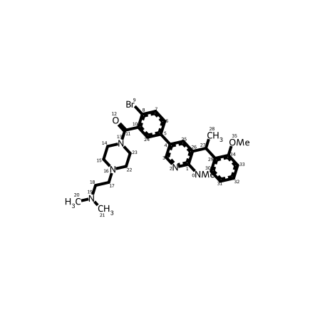 CNc1ncc(-c2ccc(Br)c(C(=O)N3CCN(CCN(C)C)CC3)c2)cc1C(C)c1ccccc1OC